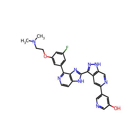 CN(C)CCOc1cc(F)cc(-c2nccc3[nH]c(-c4n[nH]c5cnc(-c6cncc(O)c6)cc45)nc23)c1